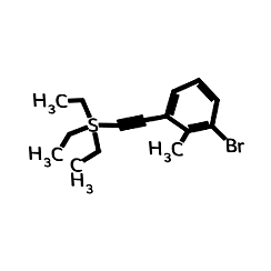 CCS(C#Cc1cccc(Br)c1C)(CC)CC